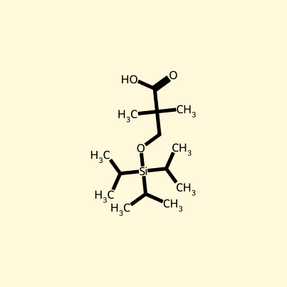 CC(C)[Si](OCC(C)(C)C(=O)O)(C(C)C)C(C)C